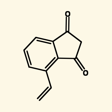 C=Cc1cccc2c1C(=O)CC2=O